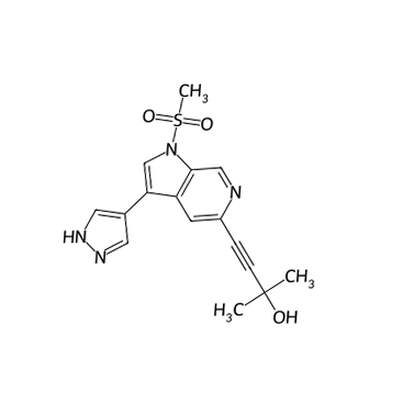 CC(C)(O)C#Cc1cc2c(-c3cn[nH]c3)cn(S(C)(=O)=O)c2cn1